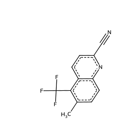 Cc1ccc2nc(C#N)ccc2c1C(F)(F)F